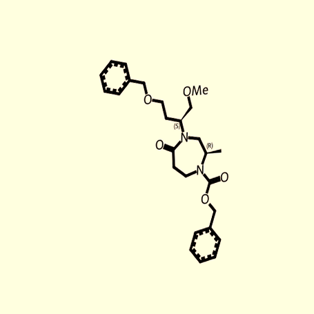 COC[C@H](CCOCc1ccccc1)N1C[C@@H](C)N(C(=O)OCc2ccccc2)CCC1=O